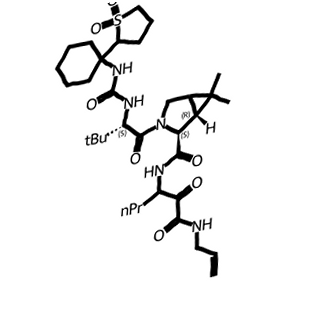 C=CCNC(=O)C(=O)C(CCC)NC(=O)[C@@H]1[C@@H]2C(CN1C(=O)[C@@H](NC(=O)NC1(C3CCCS3(=O)=O)CCCCC1)C(C)(C)C)C2(C)C